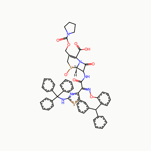 O=C(O)C1=C(COC(=O)N2CCCC2)C[S+]([O-])[C@H]2C(NC(=O)C(=NOc3ccccc3C(c3ccccc3)c3ccccc3)c3csc(NC(c4ccccc4)(c4ccccc4)c4ccccc4)n3)C(=O)N12